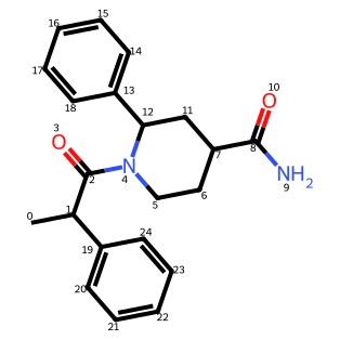 CC(C(=O)N1CCC(C(N)=O)CC1c1ccccc1)c1ccccc1